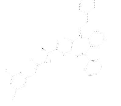 C[C@H](NC(=O)Cc1cc(F)cc(F)c1)C(=O)NC1N=C(c2ccccc2)c2ccccc2N(CCc2ccccc2)C1=O